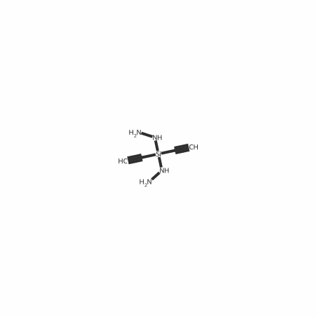 C#C[Si](C#C)(NN)NN